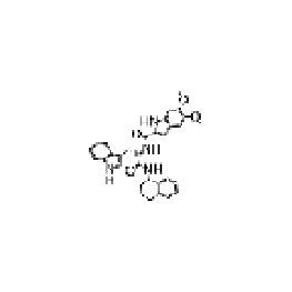 COc1cc2cc(C(=O)N[C@@H](Cc3c[nH]c4ccccc34)C(=O)NC3CCCc4ccccc43)[nH]c2cc1OC